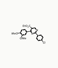 CCOC(=O)c1cnc(-c2ccc(Cl)cc2)nc1-c1ccc(OC)c(OC)c1